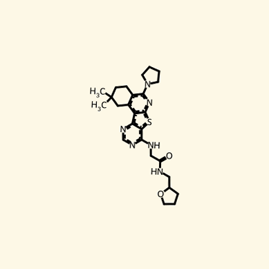 CC1(C)CCc2c(N3CCCC3)nc3sc4c(NCC(=O)NCC5CCCO5)ncnc4c3c2C1